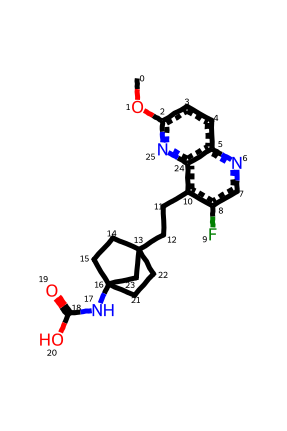 COc1ccc2ncc(F)c(CCC34CCC(NC(=O)O)(CC3)C4)c2n1